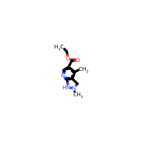 CCOC(=O)c1cnc2c(c1C)CN(C)N2